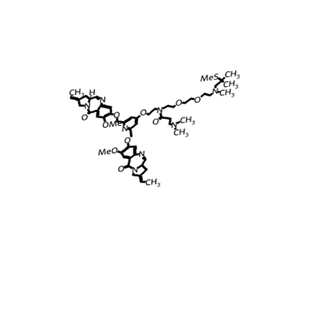 C/C=C1\CC2C=Nc3cc(OCc4cc(OCCN(CCOCCOCCN(C)CC(C)(C)SC)C(=O)CCN(C)C)cc(COc5cc6c(cc5OC)C(=O)N5C/C(=C/C)C[C@H]5C=N6)n4)c(OC)cc3C(=O)N2C1